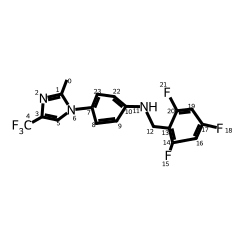 Cc1nc(C(F)(F)F)cn1-c1ccc(NCc2c(F)cc(F)cc2F)cc1